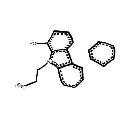 CCCCCCCCCCCCn1c2ccccc2c2cccc(O)c21.c1ccccc1